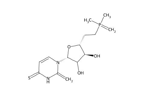 C=C1NC(=S)C=CN1[C@@H]1O[C@H](CCP(=C)(C)C)[C@@H](O)C1O